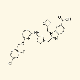 O=C(O)c1ccc2nc(CN3CC[C@@H](Nc4cccc(OCc5ccc(Cl)cc5F)n4)C3)n(C[C@@H]3CCO3)c2c1